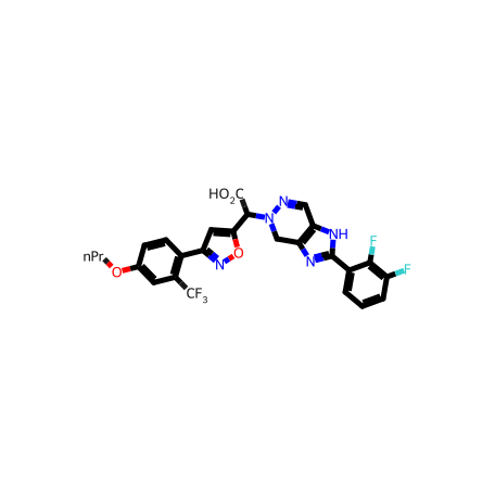 CCCOc1ccc(-c2cc(C(C(=O)O)N3Cc4nc(-c5cccc(F)c5F)[nH]c4C=N3)on2)c(C(F)(F)F)c1